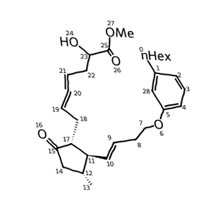 CCCCCCc1cccc(OCC/C=C/[C@H]2[C@H](C)CC(=O)[C@@H]2CC=C=CCC(O)C(=O)OC)c1